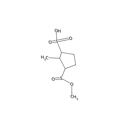 COS(=O)C1CCC(S(=O)(=O)O)C1C